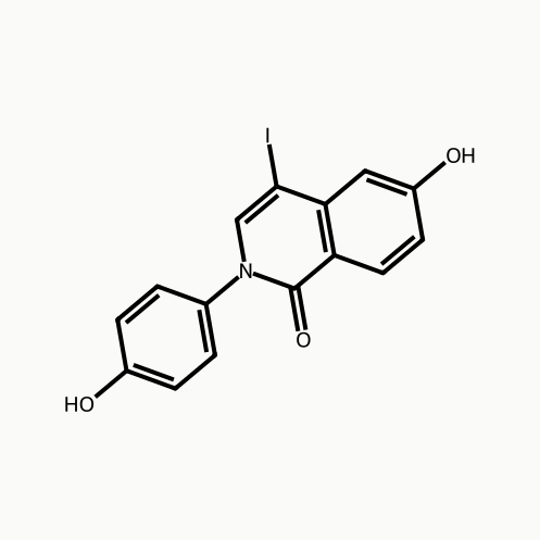 O=c1c2ccc(O)cc2c(I)cn1-c1ccc(O)cc1